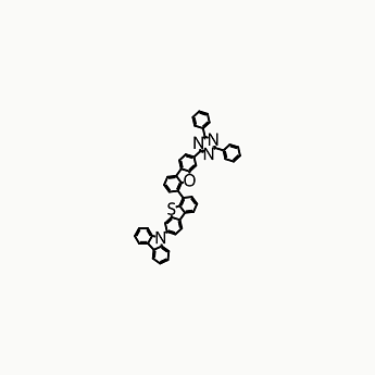 c1ccc(-c2nc(-c3ccccc3)nc(-c3ccc4c(c3)oc3c(-c5cccc6c5sc5cc(-n7c8ccccc8c8ccccc87)ccc56)cccc34)n2)cc1